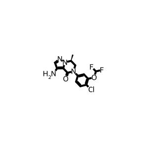 C[C@H]1CN(c2ccc(Cl)c(OC(F)F)c2)C(=O)c2c(N)cnn21